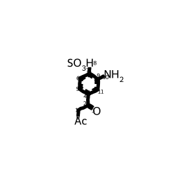 CC(=O)CC(=O)c1ccc(S(=O)(=O)O)c(N)c1